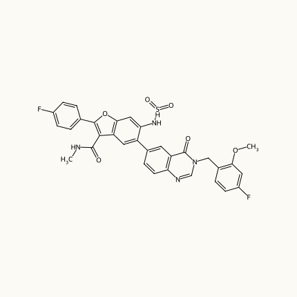 CNC(=O)c1c(-c2ccc(F)cc2)oc2cc(N[SH](=O)=O)c(-c3ccc4ncn(Cc5ccc(F)cc5OC)c(=O)c4c3)cc12